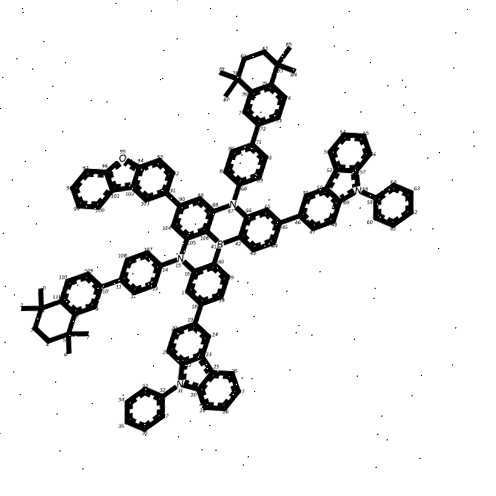 CC1(C)CCC(C)(C)c2cc(-c3ccc(N4c5cc(-c6ccc7c(c6)c6ccccc6n7-c6ccccc6)ccc5B5c6ccc(-c7ccc8c(c7)c7ccccc7n8-c7ccccc7)cc6N(c6ccc(-c7ccc8c(c7)C(C)(C)CCC8(C)C)cc6)c6cc(-c7ccc8oc9ccccc9c8c7)cc4c65)cc3)ccc21